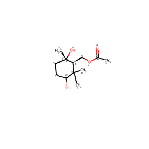 B[C@H]1CC[C@](C)(O)[C@@H](COC(C)=O)C1(C)C